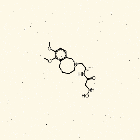 COc1ccc2c(c1OC)CCCCN(C[C@H](C)NC(=O)CNO)C2